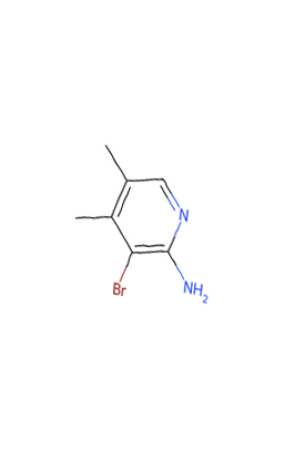 Cc1cnc(N)c(Br)c1C